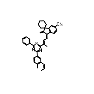 C=C1/C(=C\C=C(/C)c2nc(-c3ccccc3)nc(-c3ccc(C)c(/C=C\C)c3)n2)c2ccc(C#N)cc2C12CCCCC2